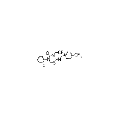 O=C1N(CC(F)(F)F)/C(=N\Cc2ccc(C(F)(F)F)cc2)SCN1c1ccccc1F